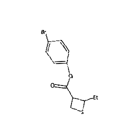 CCC1SCC1C(=O)Oc1ccc(Br)cc1